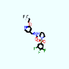 O=C(NCc1ccnc(OCCC(F)(F)F)c1)[C@@H]1CCCN1S(=O)(=O)c1cc(F)c(F)c(F)c1